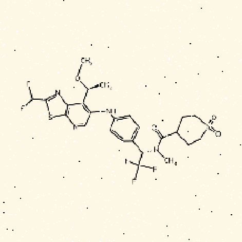 CO[C@@H](C)c1c(Nc2ccc([C@H](N(C)C(=O)C3CCS(=O)(=O)CC3)C(F)(F)F)cc2)cnc2sc(C(F)F)nc12